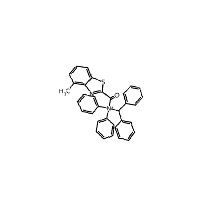 Cc1cccc2sc(C(=O)[N+](c3ccccc3)(c3ccccc3)C(c3ccccc3)c3ccccc3)nc12